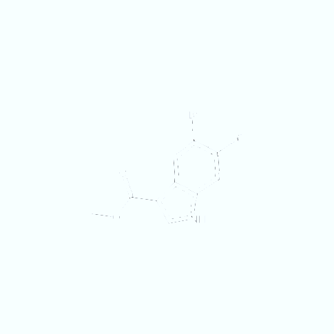 COC(=O)c1c[nH]c2cc(Cl)c(Br)cc12